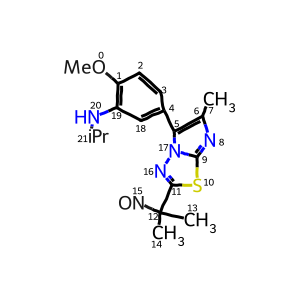 COc1ccc(-c2c(C)nc3sc(C(C)(C)N=O)nn23)cc1NC(C)C